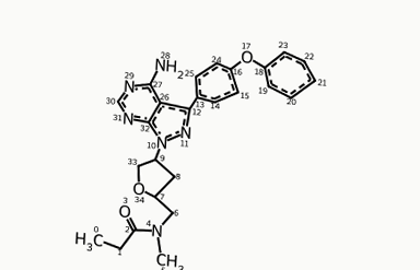 CCC(=O)N(C)CC1CC(n2nc(-c3ccc(Oc4ccccc4)cc3)c3c(N)ncnc32)CO1